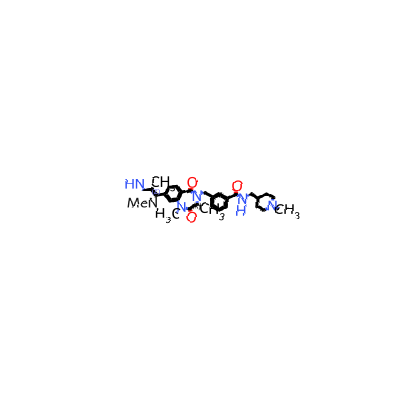 CN/C(=C(/C)C=N)c1ccc2c(c1)N(C)C(=O)[C@@H](C)N(Cc1cccc(C(=O)NCC3CCN(C)CC3)c1)C2=O